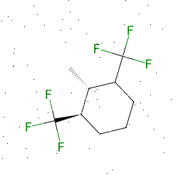 C[C@@H]1C(C(F)(F)F)CCC[C@H]1C(F)(F)F